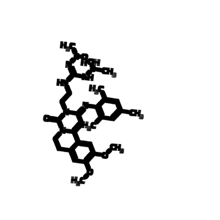 COc1cc2c(cc1OC)-c1c/c(=N\c3c(C)cc(C)cc3C)n(CCN/C(=N/B(C)O)NB(C)O)c(=O)n1CC2